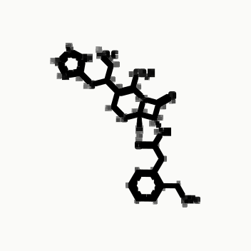 CNCc1ccccc1CC(=O)N[C@H]1C(=O)N2C(C(=O)O)=C(C(CC(=O)O)Sc3nnn[nH]3)CS[C@@H]12